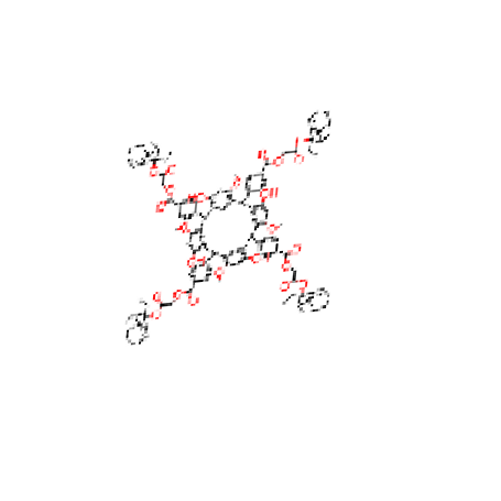 CCC1(OC(=O)COC(=O)c2ccc(C3c4cc(c(OC)cc4O)C(c4ccc(C(=O)OCC(=O)OC5(CC)C6CC7CC(C6)CC5C7)cc4)c4cc(c(OC)cc4O)C(c4ccc(C(=O)OCC(=O)OC5(CC)C6CC7CC(C6)CC5C7)cc4)c4cc(c(OC)cc4O)C(c4ccc(C(=O)OCC(=O)OC5(CC)C6CC7CC(C6)CC5C7)cc4)c4cc3c(OC)cc4O)cc2)C2CC3CC(C2)CC1C3